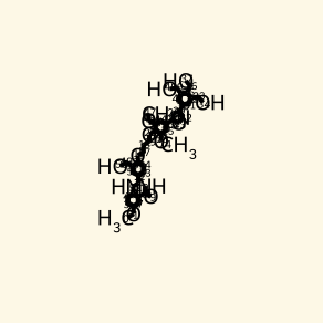 COc1ccc2c(c1)C(=O)NC(c1ccc(OCCCOc3c(OC)cc(C4CC(c5cc(CO)c(CO)c(CO)c5)=NO4)cc3OC)c(CO)c1)N2